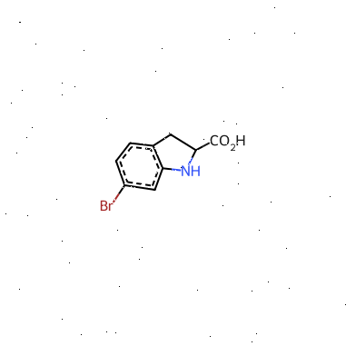 O=C(O)C1Cc2ccc(Br)cc2N1